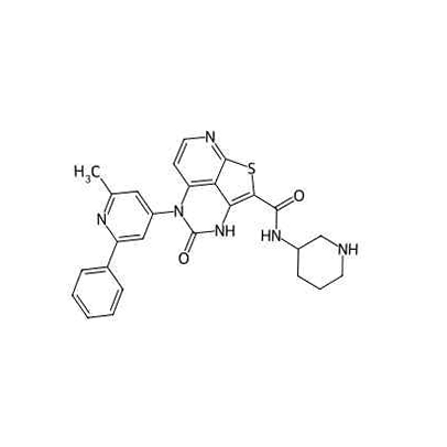 Cc1cc(N2C(=O)Nc3c(C(=O)NC4CCCNC4)sc4nccc2c34)cc(-c2ccccc2)n1